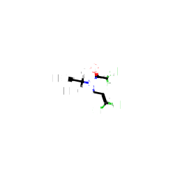 C#CC(C)(C)N(CC=C(Cl)Cl)C(=O)C(Cl)Cl